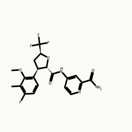 COc1c([C@H]2C[C@@H](C(F)(F)F)O[C@@H]2C(=O)Nc2ccnc(C(N)=O)c2)ccc(F)c1C